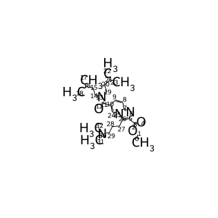 CCOC(=O)c1nc2ccc(C(=O)N(CCC(C)C)CCC(C)C)cn2c1CCCN(C)C